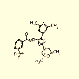 Cc1cc(-c2sc(N3C[C@@H](C)O[C@@H](C)C3)nc2CNC(=O)c2cccc(C(F)(F)F)c2)cc(C)n1